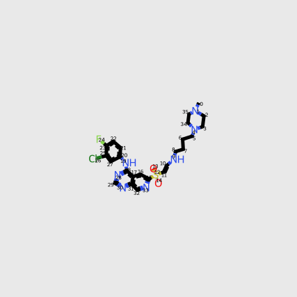 CN1CCN(CCCCN/C=C/S(=O)(=O)c2cc3c(Nc4ccc(F)c(Cl)c4)ncnc3cn2)CC1